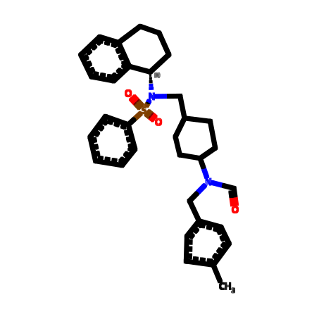 Cc1ccc(CN(C=O)C2CCC(CN([C@H]3CCCc4ccccc43)S(=O)(=O)c3ccccc3)CC2)cc1